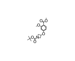 COC(=O)c1ccc(OC2CN(C(=O)OC(C)(C)C)C2)cc1OC